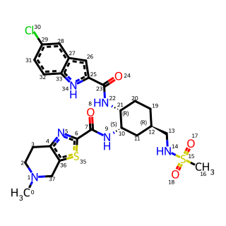 CN1CCc2nc(C(=O)N[C@H]3C[C@H](CNS(C)(=O)=O)CC[C@H]3NC(=O)c3cc4cc(Cl)ccc4[nH]3)sc2C1